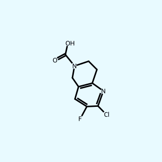 O=C(O)N1CCc2nc(Cl)c(F)cc2C1